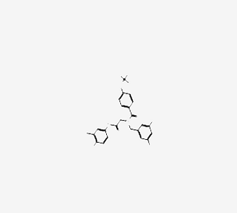 O=C(CN(Cc1cc(F)cc(F)c1)C(=O)c1ccc(OC(F)(F)F)cc1)Nc1ccc(F)c(Cl)c1